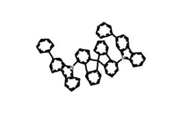 c1ccc(-c2ccc3c4ccccc4n(-c4cccc5c4-c4ccccc4C54c5ccccc5-c5c(-n6c7ccccc7c7ccc(-c8ccccc8)cc76)cccc54)c3c2)cc1